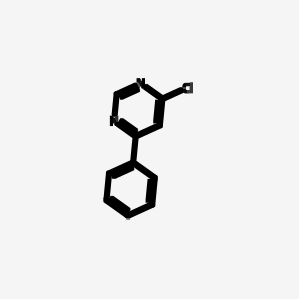 Clc1cc(-c2cc[c]cc2)ncn1